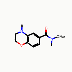 CON(C)C(=O)c1ccc2c(c1)N(C)CCO2